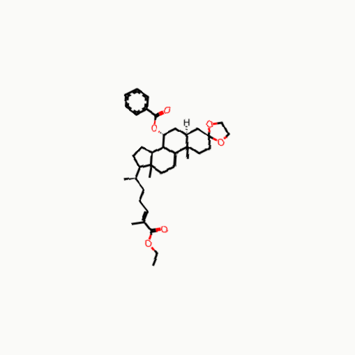 CCOC(=O)/C(C)=C/CC[C@@H](C)C1CCC2C3C(CCC21C)C1(C)CCC2(C[C@@H]1C[C@H]3OC(=O)c1ccccc1)OCCO2